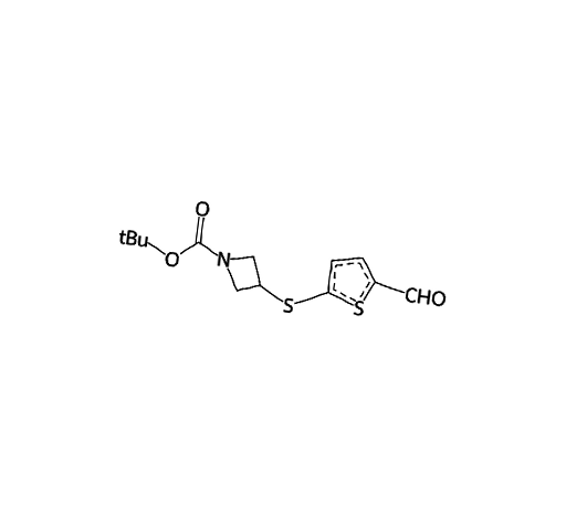 CC(C)(C)OC(=O)N1CC(Sc2ccc(C=O)s2)C1